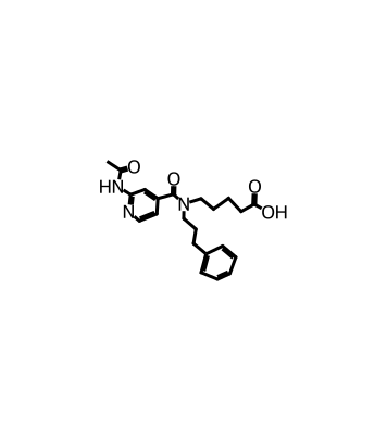 CC(=O)Nc1cc(C(=O)N(CCCCC(=O)O)CCCc2ccccc2)ccn1